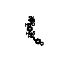 COc1ccc(CCNC(=S)Nc2ccc(NC(=O)c3csnn3)cc2)cc1